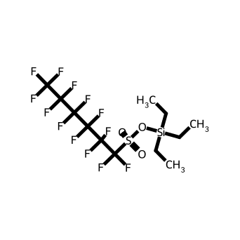 CC[Si](CC)(CC)OS(=O)(=O)C(F)(F)C(F)(F)C(F)(F)C(F)(F)C(F)(F)C(F)(F)F